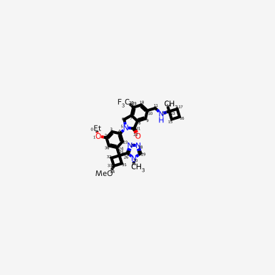 CCOc1cc(N2Cc3c(cc(CNC4(C)CCC4)cc3C(F)(F)F)C2=O)cc(C2(c3nncn3C)CC(OC)C2)c1